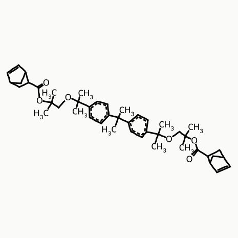 CC(C)(COC(C)(C)c1ccc(C(C)(C)c2ccc(C(C)(C)OCC(C)(C)OC(=O)C3CC4C=CC3C4)cc2)cc1)OC(=O)C1CC2C=CC1C2